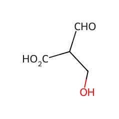 O=CC(CO)C(=O)O